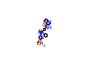 CCOc1ccc(-c2nnc(C3CC(NC(=O)c4ccnc5cccnc45)C3)n2-c2ccccc2)nc1